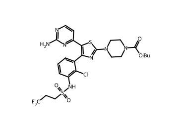 CC(C)COC(=O)N1CCN(c2nc(-c3cccc(NS(=O)(=O)CCC(F)(F)F)c3Cl)c(-c3ccnc(N)n3)s2)CC1